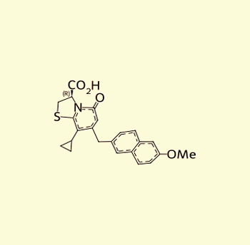 COc1ccc2cc(Cc3cc(=O)n4c(c3C3CC3)SC[C@H]4C(=O)O)ccc2c1